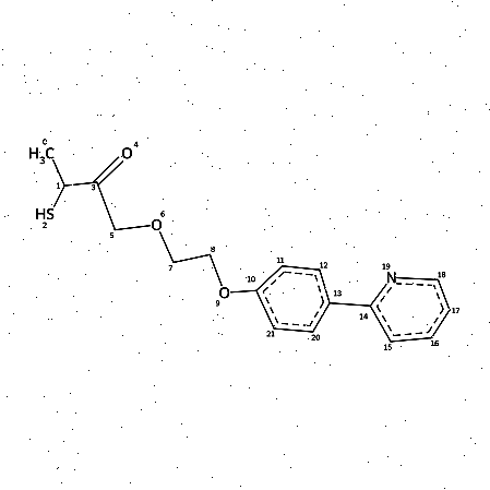 CC(S)C(=O)COCCOc1ccc(-c2ccccn2)cc1